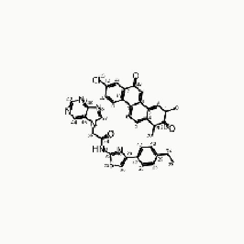 CC1C=c2c(ccc3c2=CC(=O)c2cc(Cl)ccc2-3)C(C)C1=O.CCc1ccc(-c2csc(NC(=O)Cn3cnc4ncncc43)n2)cc1